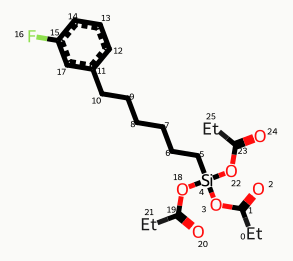 CCC(=O)O[Si](CCCCCCc1cccc(F)c1)(OC(=O)CC)OC(=O)CC